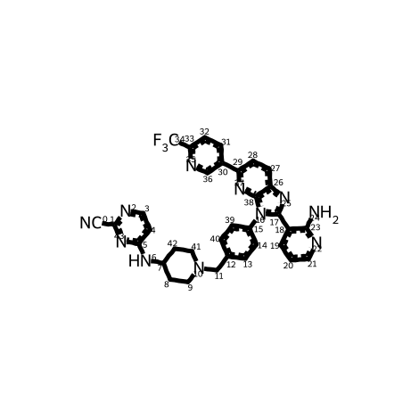 N#Cc1nccc(NC2CCN(Cc3ccc(-n4c(-c5cccnc5N)nc5ccc(-c6ccc(C(F)(F)F)nc6)nc54)cc3)CC2)n1